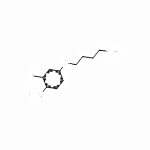 CCCCCOc1ccc(N)c(I)c1